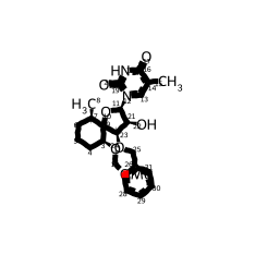 COCO[C@H]1CCC[C@@H](C)C12O[C@@H](n1cc(C)c(=O)[nH]c1=O)[C@@H](O)[C@H]2OCc1ccccc1